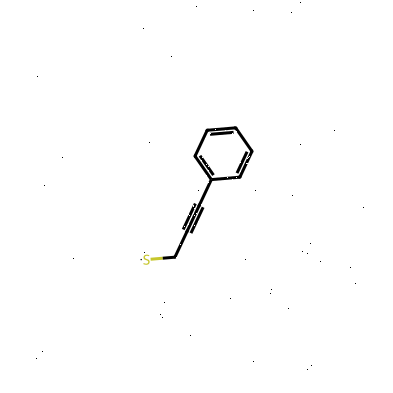 [S]CC#Cc1ccccc1